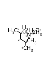 CCCCC.CN(C)C.O